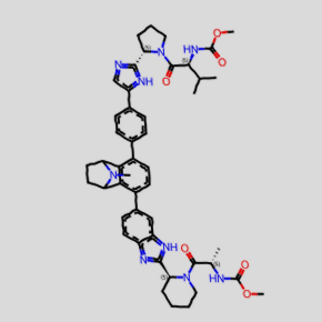 COC(=O)N[C@@H](C)C(=O)N1CCCC[C@H]1c1nc2ccc(-c3ccc(-c4ccc(-c5cnc([C@@H]6CCCN6C(=O)[C@@H](NC(=O)OC)C(C)C)[nH]5)cc4)c4c3C3CCC4N3C)cc2[nH]1